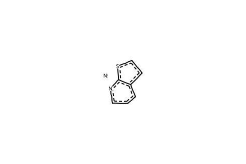 [N].c1cnc2sccc2c1